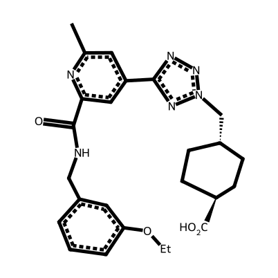 CCOc1cccc(CNC(=O)c2cc(-c3nnn(C[C@H]4CC[C@H](C(=O)O)CC4)n3)cc(C)n2)c1